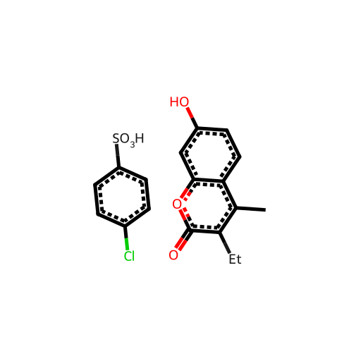 CCc1c(C)c2ccc(O)cc2oc1=O.O=S(=O)(O)c1ccc(Cl)cc1